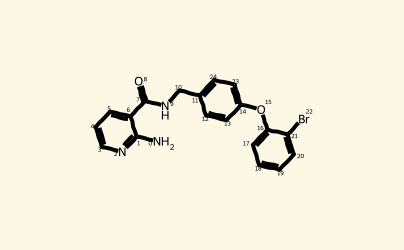 Nc1ncccc1C(=O)NCc1ccc(Oc2ccccc2Br)cc1